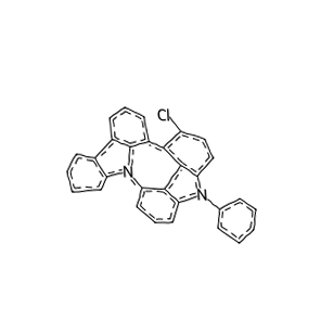 Clc1ccc2c3c1c1cccc4c5ccccc5n(c5cccc(c35)n2-c2ccccc2)c41